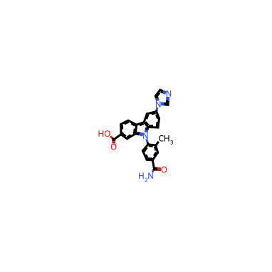 Cc1cc(C(N)=O)ccc1-n1c2ccc(-n3ccnc3)cc2c2ccc(C(=O)O)cc21